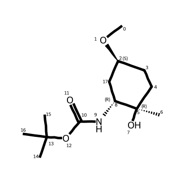 CO[C@H]1CC[C@@](C)(O)[C@H](NC(=O)OC(C)(C)C)C1